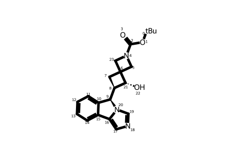 CC(C)(C)OC(=O)N1CC2(C[C@H]([C@@H]3c4ccccc4-c4cncn43)[C@H]2O)C1